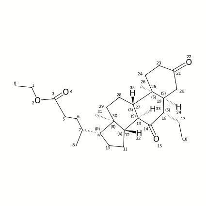 CCOC(=O)CCC(C)[C@H]1CC[C@H]2[C@@H]3C(=O)[C@@H](CC)[C@@H]4CC(=O)CC[C@]4(C)[C@H]3CC[C@]12C